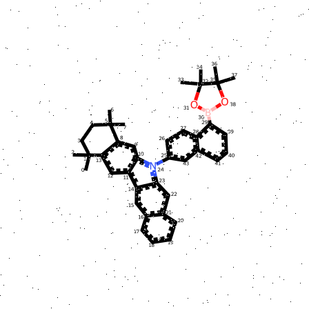 CC1(C)CCC(C)(C)c2cc3c(cc21)c1cc2ccccc2cc1n3-c1ccc2c(B3OC(C)(C)C(C)(C)O3)cccc2c1